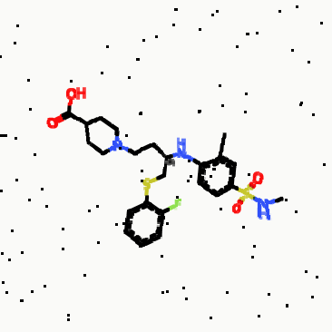 CNS(=O)(=O)c1ccc(N[C@H](CCN2CCC(C(=O)O)CC2)CSc2ccccc2F)c(C)c1